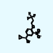 O=[N+]([O-])c1cc(C(Br)C2CC2)ccc1OCCC(F)(F)F